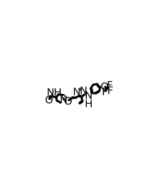 C=Cc1c(/C=C/ON2CCC(C(N)=O)CC2)ncnc1NC1=CCC=C(OC(F)(F)F)C=C1